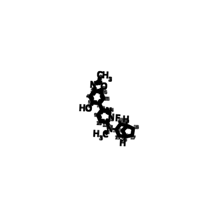 Cc1nc2cc(O)c(-c3ccc(N(C)[C@H]4C[C@@H]5CC[C@@H](C5)[C@@H]4F)nn3)cc2o1